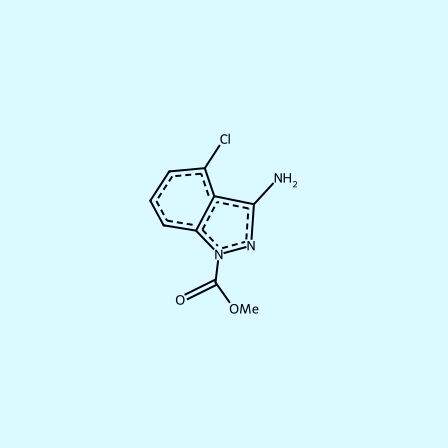 COC(=O)n1nc(N)c2c(Cl)cccc21